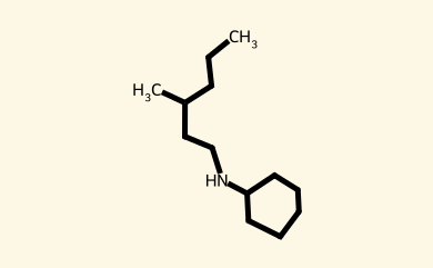 CCCC(C)CCNC1CCCCC1